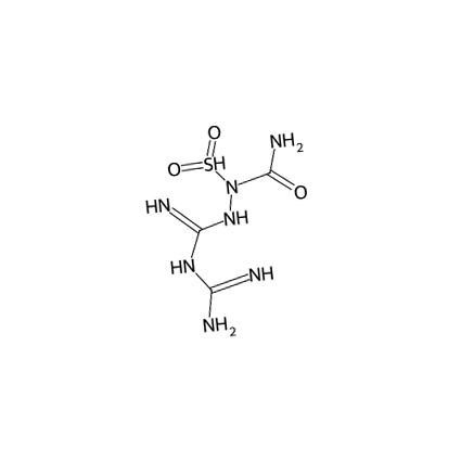 N=C(N)NC(=N)NN(C(N)=O)[SH](=O)=O